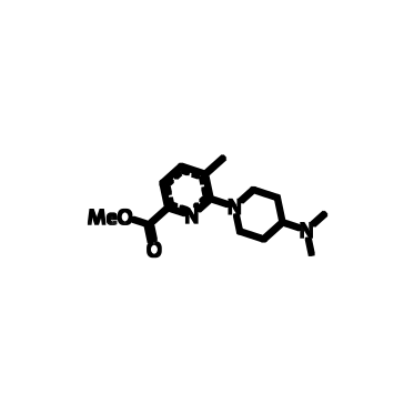 COC(=O)c1ccc(C)c(N2CCC(N(C)C)CC2)n1